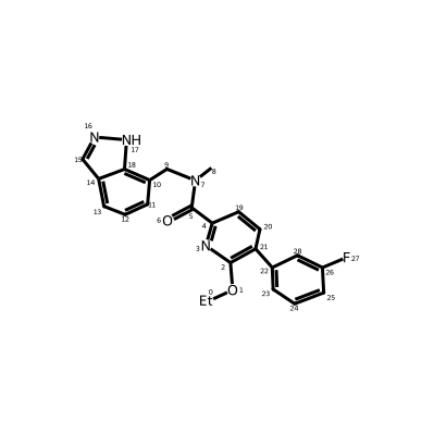 CCOc1nc(C(=O)N(C)Cc2cccc3cn[nH]c23)ccc1-c1cccc(F)c1